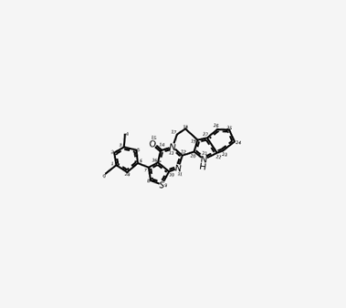 Cc1cc(C)cc(-c2csc3nc4n(c(=O)c23)CCc2c-4[nH]c3ccccc23)c1